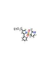 CCOC(=O)c1cc(-c2ccccc2)n(S(=O)(=O)c2cccnc2C)c1